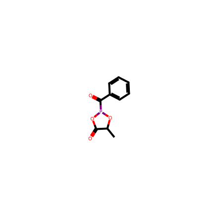 CC1OP(C(=O)c2ccccc2)OC1=O